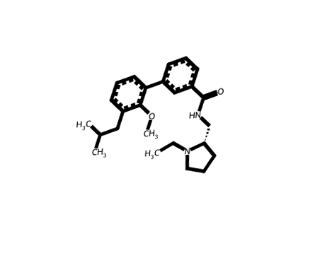 CCN1CCC[C@H]1CNC(=O)c1cccc(-c2cccc(CC(C)C)c2OC)c1